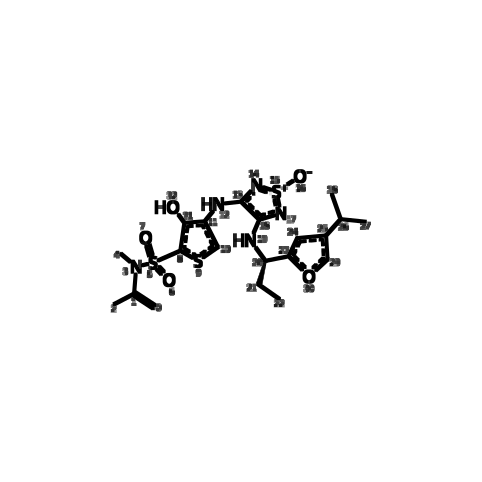 C=C(C)N(C)S(=O)(=O)c1scc(Nc2n[s+]([O-])nc2N[C@H](CC)c2cc(C(C)C)co2)c1O